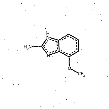 Nc1nc2c(OC(F)(F)F)cccc2[nH]1